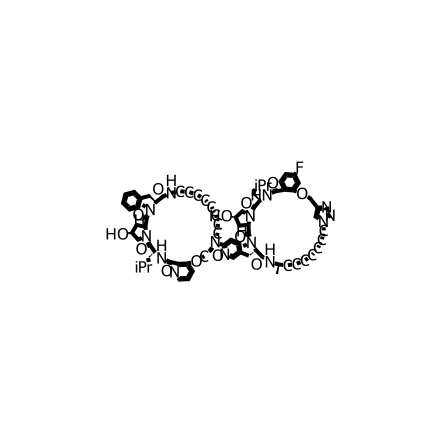 CC(C)C[C@H]1NC(=O)c2ccc(F)cc2OCc2cn(nn2)CCCCCCC[C@@H](C)NC(=O)[C@H](Cc2ccc(N3CCCCCCCCNC(=O)[C@H](Cc4ccccc4)N(C)C(=O)[C@H]4C[C@H](O)CN4C(=O)[C@@H](CC(C)C)NC(=O)c4ncccc4OCC3=O)nc2)N(C)C(=O)[C@H]2C[C@H](O)CN2C1=O